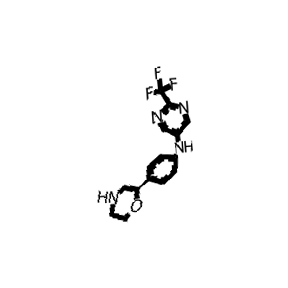 FC(F)(F)c1ncc(Nc2ccc([C@@H]3CNCCO3)cc2)cn1